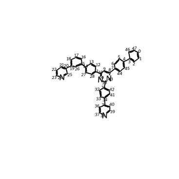 c1ccc(-c2ccc(-c3cc(-c4ccc(-c5cccc(-c6cccnc6)c5)cc4)nc(-c4ccc(-c5ccncc5)cc4)n3)cc2)cc1